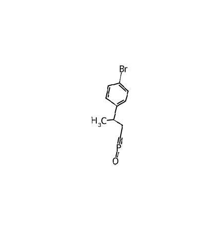 CC(CC#P=O)c1ccc(Br)cc1